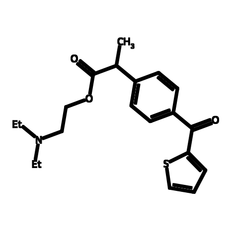 CCN(CC)CCOC(=O)C(C)c1ccc(C(=O)c2cccs2)cc1